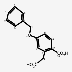 O=C(O)Cc1cc(OCc2ccccc2)ccc1C(=O)O